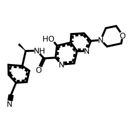 C[C@@H](NC(=O)c1ncc2nc(N3CCOCC3)ccc2c1O)c1ccc(C#N)cc1